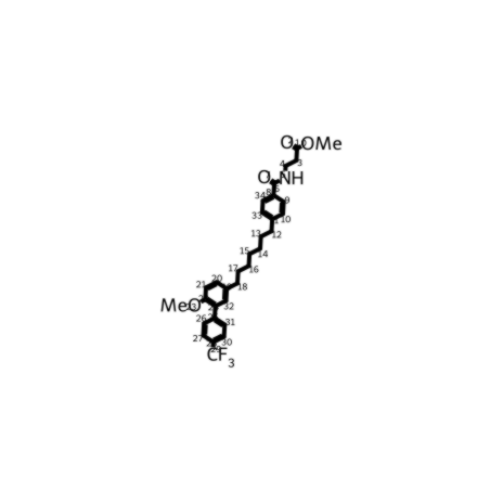 COC(=O)CCNC(=O)c1ccc(CCCCCCCc2ccc(OC)c(-c3ccc(C(F)(F)F)cc3)c2)cc1